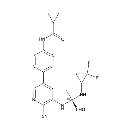 C[C@@](C=O)(Nc1cc(-c2cnc(NC(=O)C3CC3)cn2)cnc1C#N)NC1CC1(F)F